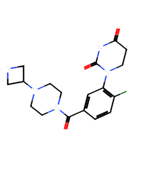 O=C1CCN(c2cc(C(=O)N3CCN(C4CNC4)CC3)ccc2Cl)C(=O)N1